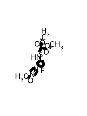 CCOC(=O)C(=CSNc1ccc(F)c(N2CCN(C(C)=O)CC2)c1)C(=O)OCC